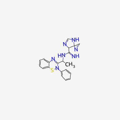 CC(NC(=N)C1N=CNC12C=N2)C1=Nc2ccccc2SN1c1ccccc1